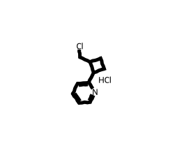 Cl.ClCC1CCC1c1ccccn1